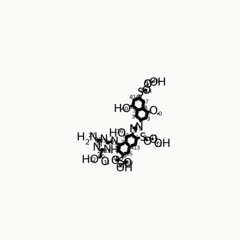 COc1cc(N=Nc2c(SOOO)cc3cc(S(=O)(=O)O)cc(Nc4nc(N)nc(C(=O)O)n4)c3c2O)cc2c(O)cc(SOOO)cc12